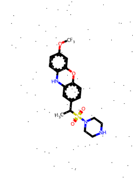 CC(c1ccc2c(c1)Nc1ccc(OC(F)(F)F)cc1O2)S(=O)(=O)N1CCNCC1